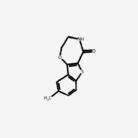 Cc1ccc2sc3c(c2c1)OCCNC3=O